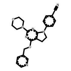 N#Cc1ccc(N2CCc3c(OCc4cccnc4)nc(N4CCOCC4)nc32)cc1